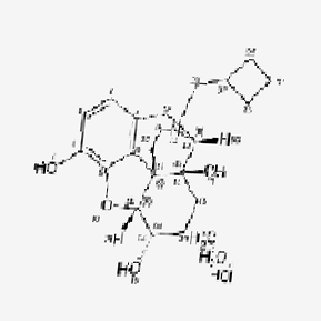 Cl.O.O.Oc1ccc2c3c1O[C@H]1[C@@H](O)CC[C@@]4(O)[C@@H](C2)N(CC2CCC2)CC[C@]314